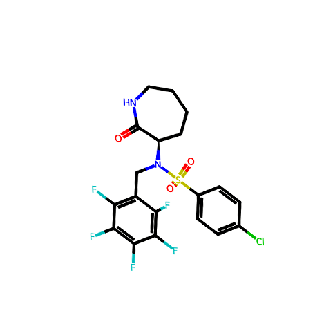 O=C1NCCCC[C@H]1N(Cc1c(F)c(F)c(F)c(F)c1F)S(=O)(=O)c1ccc(Cl)cc1